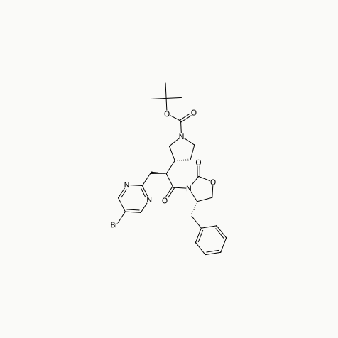 CC(C)(C)OC(=O)N1CC[C@H]([C@H](Cc2ncc(Br)cn2)C(=O)N2C(=O)OC[C@@H]2Cc2ccccc2)C1